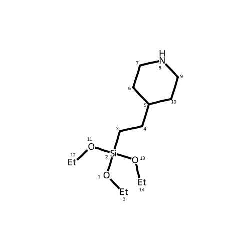 CCO[Si](CCC1CCNCC1)(OCC)OCC